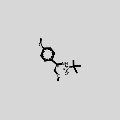 COC[C@H](N[S@+]([O-])C(C)(C)C)c1ccc(OC)cc1